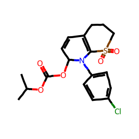 CC(C)OC(=O)OC1C=CC2=C(N1c1ccc(Cl)cc1)S(=O)(=O)CCC2